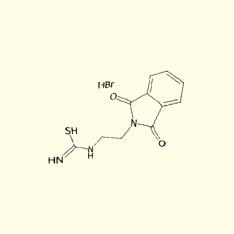 Br.N=C(S)NCCN1C(=O)c2ccccc2C1=O